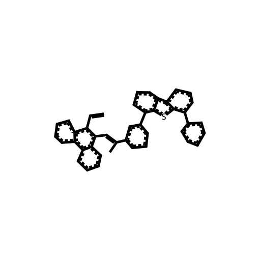 C=Cc1c(/C=C(\C)c2cccc(-c3cccc4c3sc3c(-c5ccccc5)cccc34)c2)c2ccccc2c2ccccc12